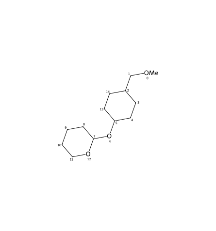 COCC1CCC(OC2CCCCO2)CC1